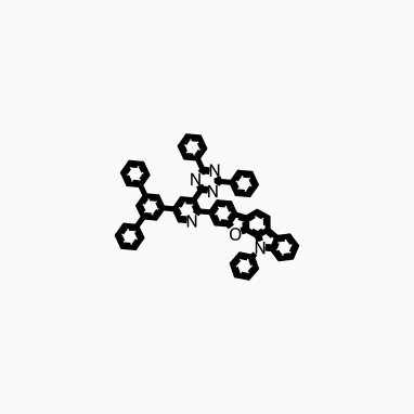 c1ccc(-c2cc(-c3ccccc3)cc(-c3cnc(-c4ccc5c(c4)oc4c5ccc5c6ccccc6n(-c6ccccc6)c54)c(-c4nc(-c5ccccc5)nc(-c5ccccc5)n4)c3)c2)cc1